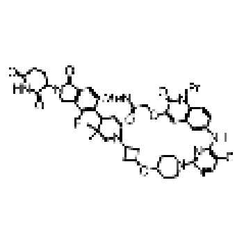 CNC(=O)COc1cc2cc(Nc3nc(N4CCC(OC5CC(N6CCC(c7ccc8c(c7F)CN([C@@H]7CCC(=O)NC7=O)C8=O)C(C)(C)C6)C5)CC4)ncc3Cl)ccc2n(C(C)C)c1=O